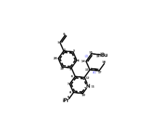 C=Cc1ccc(-c2cc(C(C)C)cnc2C(/C=C\C(C)CC)=C/C)cc1